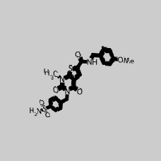 COc1ccc(CNC(=O)c2cc3c(=O)n(Cc4ccc(S(N)(=O)=O)cc4)c(=O)n(C)c3s2)cc1